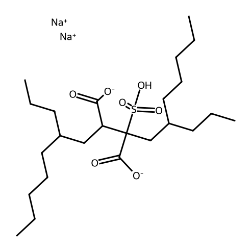 CCCCCC(CCC)CC(C(=O)[O-])C(CC(CCC)CCCCC)(C(=O)[O-])S(=O)(=O)O.[Na+].[Na+]